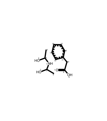 CC(O)NC(C)O.O=C(O)Cc1ccccc1